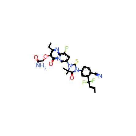 C/C=C/C(F)(F)c1cc(N2C(=O)C(C)(C)N(c3cc(F)c4nc(CC)c(OCC(N)=O)c(=O)n4c3)C2=S)ccc1C#N